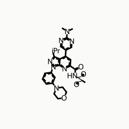 CC(C)c1nn(-c2cccc(N3CCOCC3)c2)c2nc(C(=O)NS(C)(=O)=O)cc(-c3cnc(N(C)C)nc3)c12